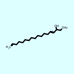 C=CCCCCCCCCCCC/C=C/C(O)COC(C)=O